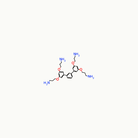 NCCCOc1cc(OCCCN)cc(-c2cccc(-c3cc(OCCCN)cc(OCCCN)c3)c2)c1